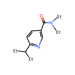 CCC(CC)c1ccc(C(=O)N(CC)CC)cn1